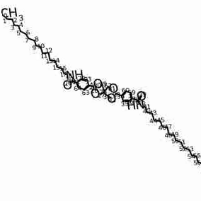 CCCCCCCCCCCCCCCCCCNC(=O)c1ccc(C2OCC3(CO2)COC(c2ccc(C(=O)NCCCCCCCCCCCCCCCCCC)cc2)OC3)cc1